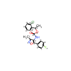 Cc1noc(-c2ccc(F)cc2)c1NC(=O)OC(C)c1ccccc1Cl